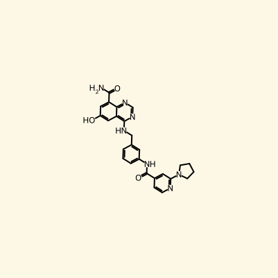 NC(=O)c1cc(O)cc2c(NCc3cccc(NC(=O)c4ccnc(N5CCCC5)c4)c3)ncnc12